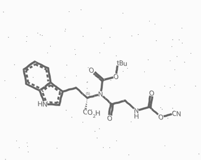 CC(C)(C)OC(=O)N(C(=O)CNC(=O)OC#N)[C@@H](Cc1c[nH]c2ccccc12)C(=O)O